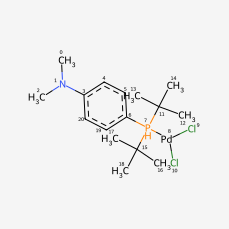 CN(C)c1ccc([PH]([Pd]([Cl])[Cl])(C(C)(C)C)C(C)(C)C)cc1